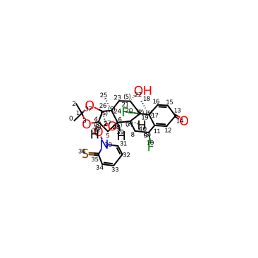 CC1(C)O[C@@H]2C[C@H]3[C@@H]4C[C@H](F)C5=CC(=O)C=C[C@]5(C)[C@@]4(F)[C@@H](O)C[C@]3(C)[C@]2(C(=O)On2ccccc2=S)O1